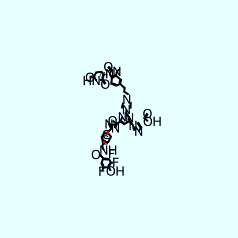 Cn1c(=O)n([C@@H]2CCC(=O)NC2=O)c2ccc(CCCN3CCN(c4nc(-c5nc(C67CCC(CNC(=O)c8cc(F)c(O)c(F)c8F)(CC6)CC7)no5)cc(-n5ccnc5)n4)CC3)cc21.O=CO